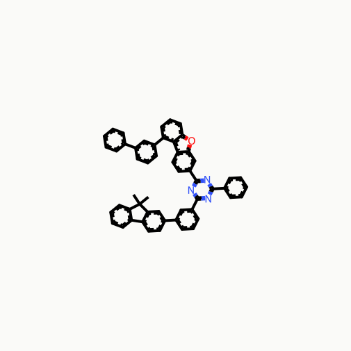 CC1(C)c2ccccc2-c2ccc(-c3cccc(-c4nc(-c5ccccc5)nc(-c5ccc6c(c5)oc5cccc(-c7cccc(-c8ccccc8)c7)c56)n4)c3)cc21